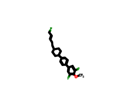 FCC=CCCC1CCC(c2ccc(-c3cc(F)c(OC(F)(F)F)c(F)c3)cc2)CC1